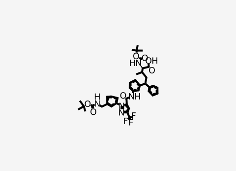 CC(CC(c1ccccc1)c1cccc(NC(=O)c2cc(C(F)(F)F)nn2-c2cccc(CNC(=O)OC(C)(C)C)c2)c1)[C@@H](NC(=O)OC(C)(C)C)C(=O)O